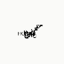 C=CCOC1CC(c2cc(Cl)n3nc([C@@]4(C(C)(C)C)CCCCN4C(=O)O)cc3n2)C1